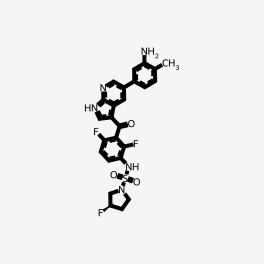 Cc1ccc(-c2cnc3[nH]cc(C(=O)c4c(F)ccc(NS(=O)(=O)N5CC[C@@H](F)C5)c4F)c3c2)cc1N